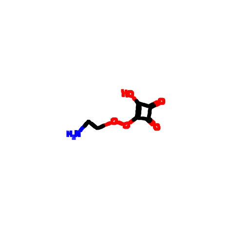 NCCOOc1c(O)c(=O)c1=O